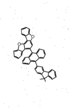 CC1(C)c2ccccc2-c2cc(-c3c4ccccc4c(-c4cc5oc6ccccc6c5c5oc6ccccc6c45)c4ccccc34)ccc21